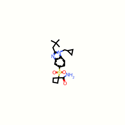 CC(C)(C)Cc1nc2cc(S(=O)(=O)C3(C(N)=O)CCC3)ccc2n1CC1CC1